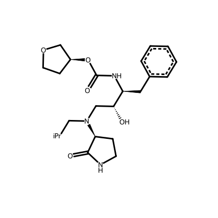 CC(C)CN(C[C@@H](O)[C@H](Cc1ccccc1)NC(=O)O[C@H]1CCOC1)[C@H]1CCNC1=O